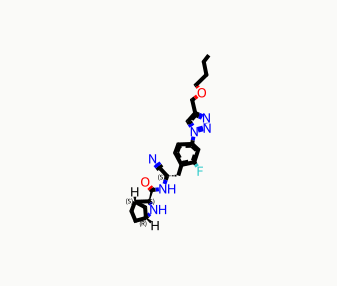 CCCCOCc1cn(-c2ccc(C[C@@H](C#N)NC(=O)[C@H]3N[C@@H]4CC[C@H]3C4)c(F)c2)nn1